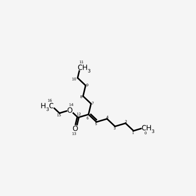 CCCCC/C=C(\CCCCC)C(=O)OCC